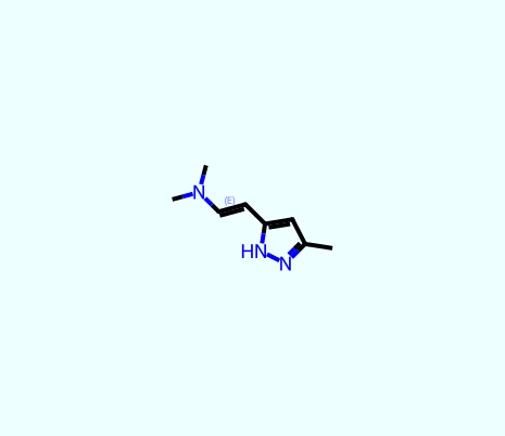 Cc1cc(/C=C/N(C)C)[nH]n1